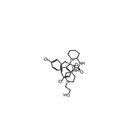 O=C(NC1CCCCN1[C@]1(Cc2cccc(Cl)c2)C(=O)Nc2cc(Cl)ccc21)ON1CCN(CCO)CC1